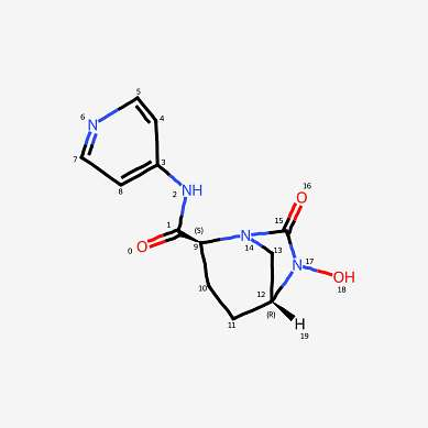 O=C(Nc1ccncc1)[C@@H]1CC[C@@H]2CN1C(=O)N2O